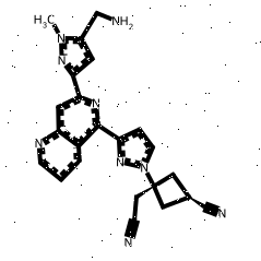 Cn1nc(-c2cc3ncccc3c(-c3ccn([C@]4(CC#N)C[C@@H](C#N)C4)n3)n2)cc1CN